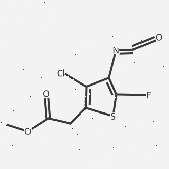 COC(=O)Cc1sc(F)c(N=C=O)c1Cl